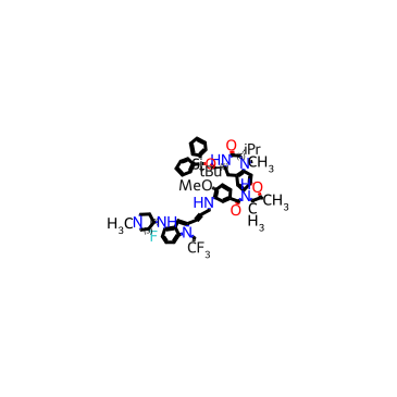 COc1ccc(C(=O)NC(C)C(C)Oc2ccc3c(c2)N(C)[C@@H](C(C)C)C(=O)N[C@H](CO[Si](c2ccccc2)(c2ccccc2)C(C)(C)C)C3)cc1NCC#Cc1cc2c(N[C@@H]3CCN(C)C[C@@H]3F)cccc2n1CC(F)(F)F